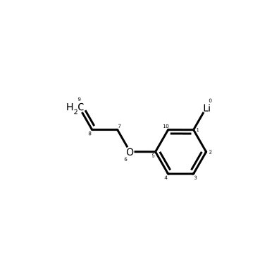 [Li][c]1cccc(OCC=C)c1